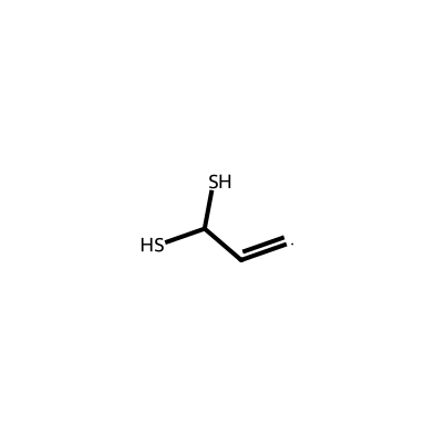 [CH]=CC(S)S